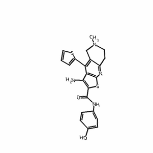 CN1CCc2nc3sc(C(=O)Nc4ccc(O)cc4)c(N)c3c(-c3cccs3)c2C1